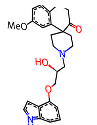 COc1ccc2c(c1)C1(CCN(C[C@H](O)COc3cccc4[nH]ccc34)CC1)C(=O)CC2